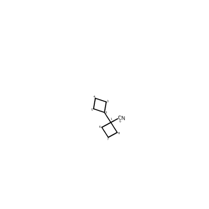 N#CC1(C2CCC2)CCC1